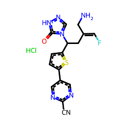 Cl.N#Cc1ncc(-c2ccc(C(C/C(=C\F)CN)n3cn[nH]c3=O)s2)cn1